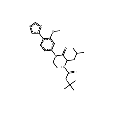 CCN(C(=O)C(CC(C)C)NC(=O)OC(C)(C)C)c1ccc(-c2cnco2)c(OC)c1